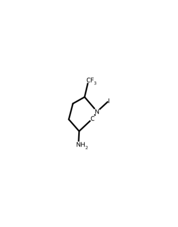 NC1CCC(C(F)(F)F)N(I)C1